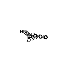 CCOc1nc(N2CCNCC2)nc2c1sc1nc(N3CCN(c4ccccc4)CC3)cc(C)c12